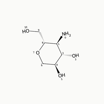 N[C@H]1[C@H](O)[C@@H](O)[CH]O[C@@H]1CO